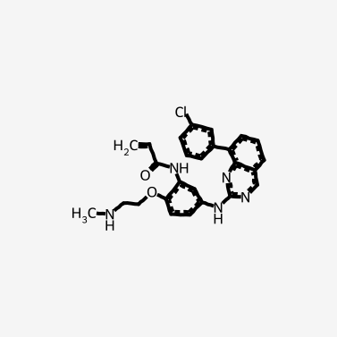 C=CC(=O)Nc1cc(Nc2ncc3cccc(-c4cccc(Cl)c4)c3n2)ccc1OCCNC